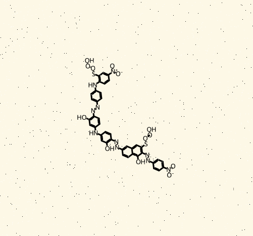 O=[N+]([O-])c1ccc(N=Nc2c(SOOO)cc3cc(N=Nc4ccc(Nc5ccc(N=Nc6ccc(Nc7ccc([N+](=O)[O-])cc7SOOO)cc6)c(O)c5)cc4O)ccc3c2O)cc1